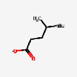 CCCCC(C)CCC([O])=O